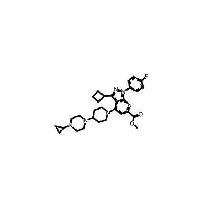 COC(=O)c1cc(N2CCC(N3CCN(C4CC4)CC3)CC2)c2c(C3CCC3)nn(-c3ccc(F)cc3)c2n1